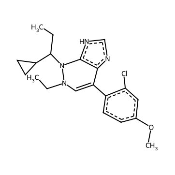 CCC(C1CC1)N1c2[nH]cnc2C(c2ccc(OC)cc2Cl)=CN1CC